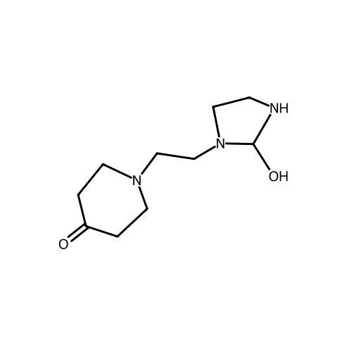 O=C1CCN(CCN2CCNC2O)CC1